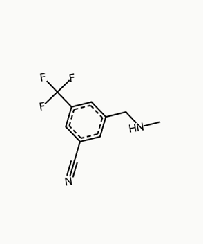 CNCc1cc(C#N)cc(C(F)(F)F)c1